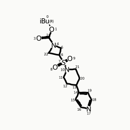 CC[C@@H](C)OC(=O)N1CC(S(=O)(=O)N2CCC(c3ccncc3)CC2)C1